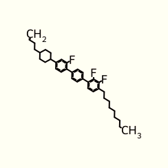 C=CCCC1CCC(c2ccc(-c3ccc(-c4ccc(CCCCCCCCC)c(F)c4F)cc3)c(F)c2)CC1